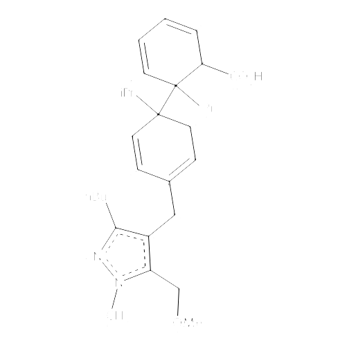 CCCCc1nn(C)c(COC)c1CC1=CCC(C(C)C)(C2(C(C)C)C=CC=CC2C(=O)O)C=C1